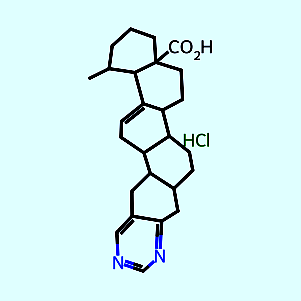 CC1CCCC2(C(=O)O)CCC3C(=CCC4C5Cc6cncnc6CC5CCC34)C12.Cl